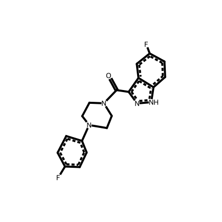 O=C(c1n[nH]c2ccc(F)cc12)N1CCN(c2ccc(F)cc2)CC1